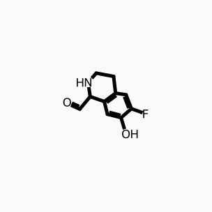 O=CC1NCCc2cc(F)c(O)cc21